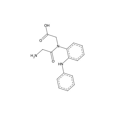 NCC(=O)N(CC(=O)O)c1ccccc1Nc1ccccc1